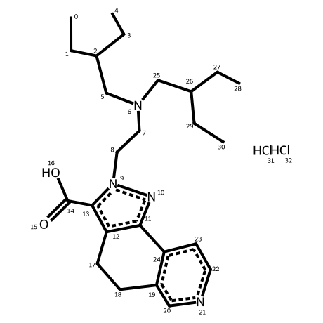 CCC(CC)CN(CCn1nc2c(c1C(=O)O)CCc1cnccc1-2)CC(CC)CC.Cl.Cl